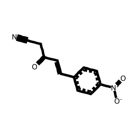 N#CCC(=O)C=Cc1ccc([N+](=O)[O-])cc1